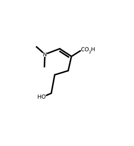 CN(C)C=C(CCCO)C(=O)O